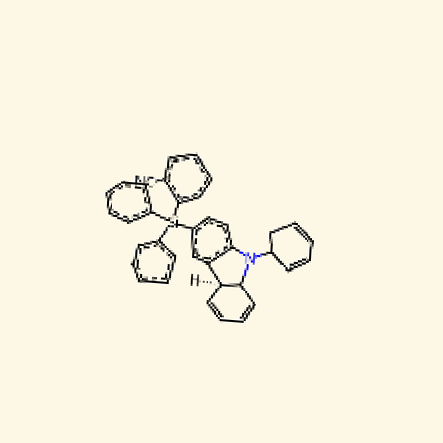 N#Cc1ccccc1[Si](c1ccccc1)(c1ccccc1)c1ccc2c(c1)[C@@H]1C=CC=CC1N2C1C=CC=CC1